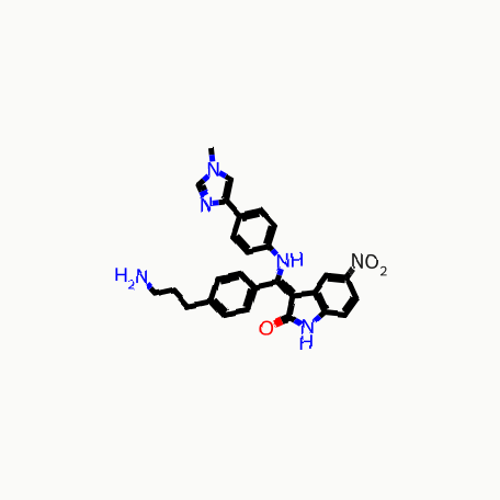 Cn1cnc(-c2ccc(NC(=C3C(=O)Nc4ccc([N+](=O)[O-])cc43)c3ccc(CCCN)cc3)cc2)c1